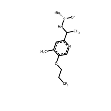 Cc1cc(C(C)N[S@@+]([O-])C(C)(C)C)ncc1OCCC(F)(F)F